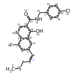 CSC/C=C\c1cc(F)c2ncc(C(=O)NCc3ccc(Cl)cc3)c(O)c2c1